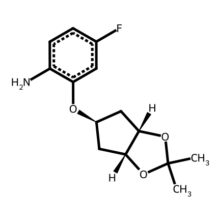 CC1(C)O[C@H]2C[C@H](Oc3cc(F)ccc3N)C[C@H]2O1